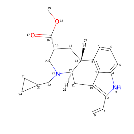 C=Cc1[nH]c2cccc3c2c1C[C@@H]1[C@@H]3C[C@@H](C(=O)OC)CN1CC1CC1